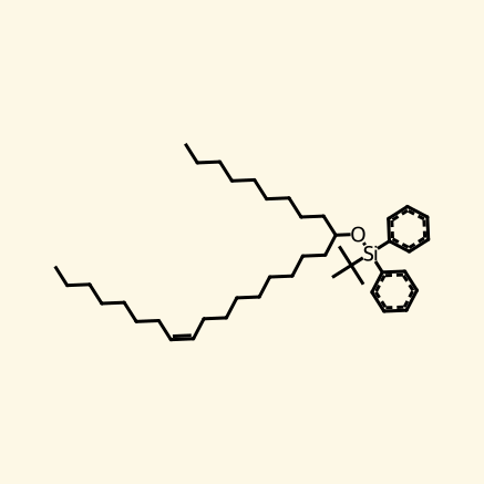 CCCCCCC/C=C\CCCCCCCCC(CCCCCCCCC)O[Si](c1ccccc1)(c1ccccc1)C(C)(C)C